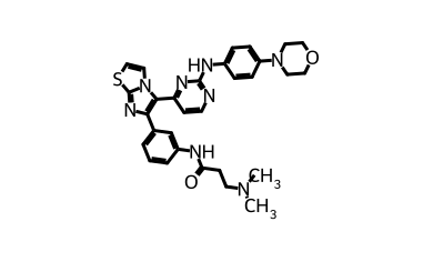 CN(C)CCC(=O)Nc1cccc(-c2nc3sccn3c2-c2ccnc(Nc3ccc(N4CCOCC4)cc3)n2)c1